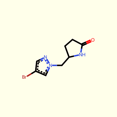 O=C1CCC(Cn2cc(Br)cn2)N1